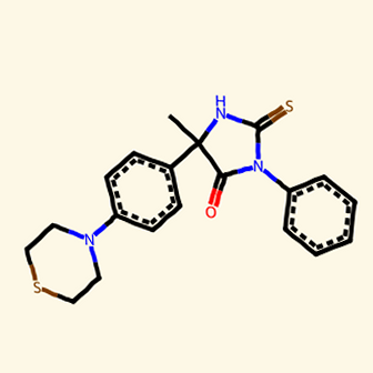 CC1(c2ccc(N3CCSCC3)cc2)NC(=S)N(c2ccccc2)C1=O